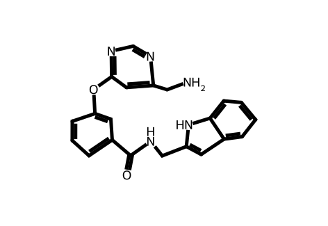 NCc1cc(Oc2cccc(C(=O)NCc3cc4ccccc4[nH]3)c2)ncn1